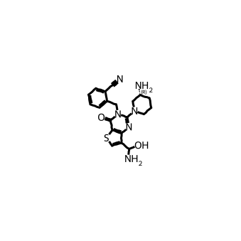 N#Cc1ccccc1Cn1c(N2CCC[C@@H](N)C2)nc2c(C(N)O)csc2c1=O